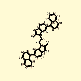 CC1=Cc2ccc(-c3cccc4ccccc34)cc2C1CCC1C(C)=Cc2ccc(-c3cccc4ccccc34)cc21